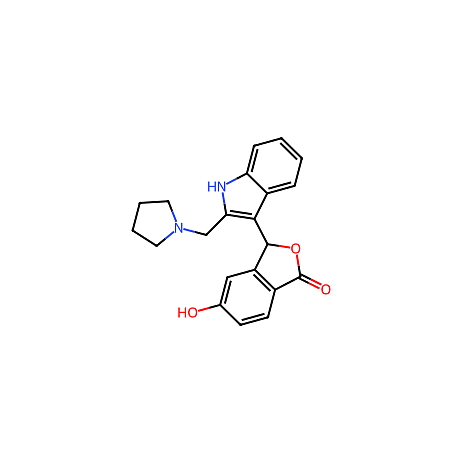 O=C1OC(c2c(CN3CCCC3)[nH]c3ccccc23)c2cc(O)ccc21